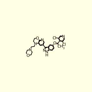 C[C@@H](Oc1ccc2[nH]nc(-c3cnc4c(c3)N(CCN3CCOCC3)CCO4)c2c1)c1c(Cl)cncc1Cl